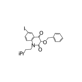 CC(C)CCN1C(=O)C(OCc2ccccc2)C(=O)c2cc(I)ccc21